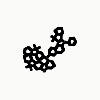 CC1(C)c2ccccc2-c2ccc(N(c3ccc4c(ccc5c4c4c(n5-c5ccccc5)-c5ccccc5C4(C)C)c3)c3cccc4oc5cc6c(cc5c34)-c3ccccc3C6(C)C)cc21